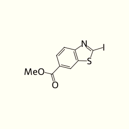 COC(=O)c1ccc2nc(I)sc2c1